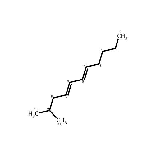 CCCCC=CC=CCC(C)C